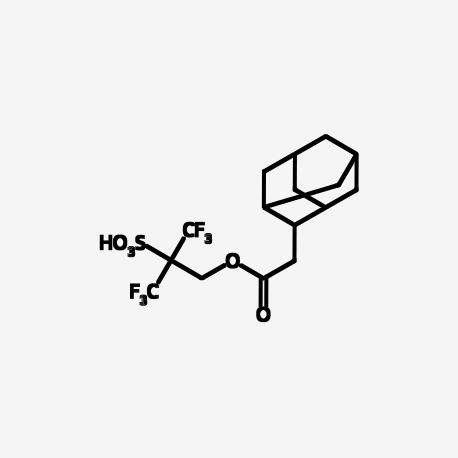 O=C(CC1C2CC3CC(C2)CC1C3)OCC(C(F)(F)F)(C(F)(F)F)S(=O)(=O)O